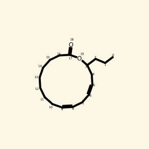 CCCC1CC=CCC=CCCCCCCCC(=O)O1